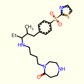 CCC(NCCCCN1CCNCCC1=O)C(C)Cc1ccc(S(=O)(=O)c2nccs2)cc1